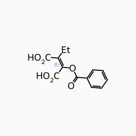 CC/C(C(=O)O)=C(\OC(=O)c1ccccc1)C(=O)O